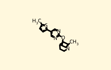 Cc1ccc(-c2cnc(OC3C4CCN(CC4)C3C)nc2)s1